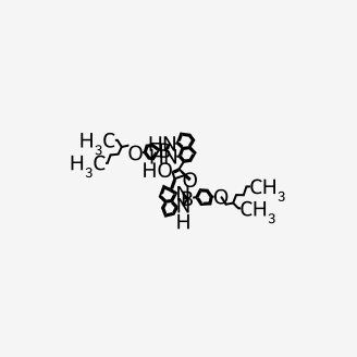 CCCCC(CC)COc1ccc(B2N=c3/c(=C4\C(=O)C(c5ccc6cccc7c6c5NB(c5ccc(OCC(CC)CCCC)cc5)N7)=C4O)ccc4cccc(c34)N2)cc1